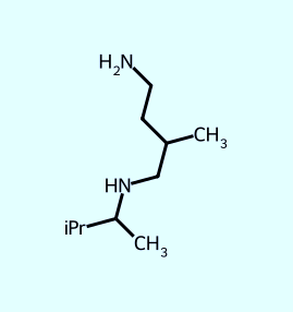 CC(CCN)CNC(C)C(C)C